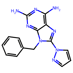 Nc1nc(N)c2nc(-n3cccn3)n(Cc3ccccc3)c2n1